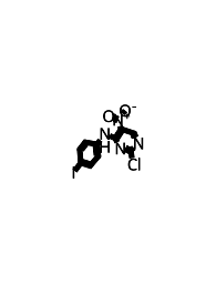 O=[N+]([O-])c1cnc(Cl)nc1Nc1ccc(I)cc1